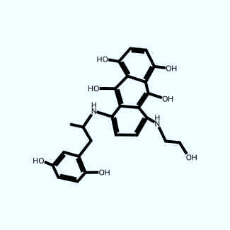 CC(Cc1cc(O)ccc1O)Nc1ccc(NCCO)c2c(O)c3c(O)ccc(O)c3c(O)c12